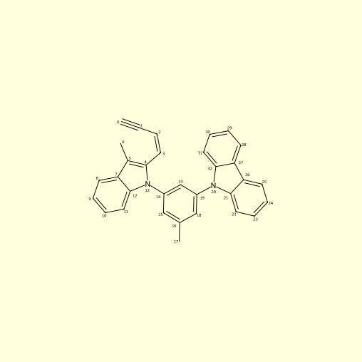 C#C/C=C\c1c(C)c2ccccc2n1-c1cc(C)cc(-n2c3ccccc3c3ccccc32)c1